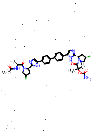 COC(=O)N[C@@H](C)C(=O)N1CC(F)CC1c1ncc(-c2ccc(-c3ccc(-c4cnc([C@@H]5C[C@@H](F)CN5C(=O)C(C)(C)OC(N)=O)[nH]4)cc3)cc2)[nH]1